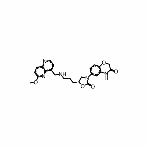 COc1ccc2nccc(CNCCC[C@H]3CN(c4ccc5c(c4)NC(=O)CO5)C(=O)O3)c2n1